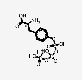 N[C@@H](Cc1ccc(OP(=O)(O)OP(=O)(O)OP(=O)(O)O)cc1)C(=O)O